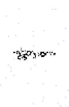 COc1ccc(COC(=O)Nc2ccc(C(C)C(=O)N3CCCC3CO)cc2)cc1